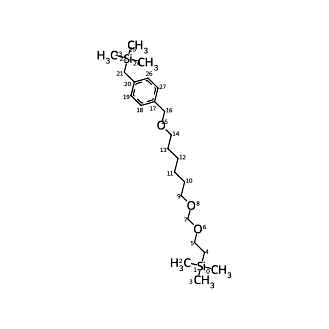 C[Si](C)(C)CCOCOCCCCCCOCc1ccc(C[Si](C)(C)C)cc1